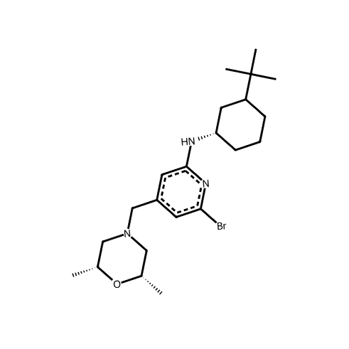 C[C@@H]1CN(Cc2cc(Br)nc(N[C@H]3CCCC(C(C)(C)C)C3)c2)C[C@H](C)O1